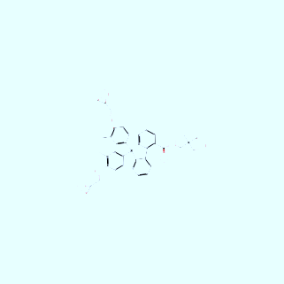 Cc1cc(C2(c3ccc(OCC4CO4)c(C)c3)c3ccccc3-c3c(C(=O)OCC4(C)COC4)cccc32)ccc1OCC1CO1